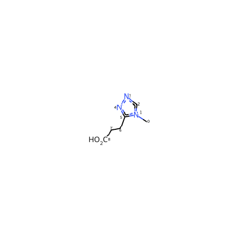 Cn1cnnc1CCC(=O)O